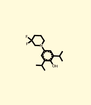 CC(C)c1cc(N2CCCC(F)(F)C2)cc(C(C)C)c1O